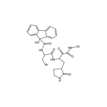 CCNC(=O)C(=O)C(CC1CCNC1=O)NC(=O)C(CC(C)C)NC(=O)C1(O)c2ccccc2-c2ccccc21